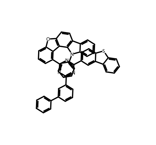 c1ccc(-c2cccc(-c3nc(-c4ccc5sc6ccccc6c5c4)nc(-c4cccc5oc6ccc7c8ccccc8n(-c8ccccc8)c7c6c45)n3)c2)cc1